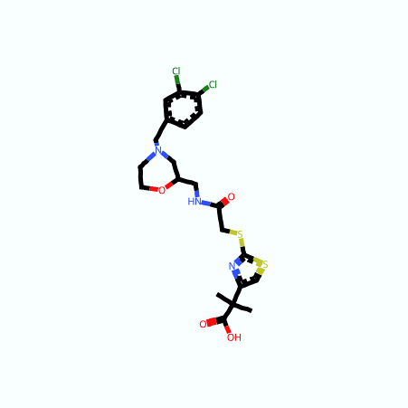 CC(C)(C(=O)O)c1csc(SCC(=O)NCC2CN(Cc3ccc(Cl)c(Cl)c3)CCO2)n1